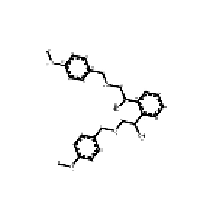 COc1ccc(COCC(O)c2ccccc2C(O)COCc2ccc(OC)cc2)cc1